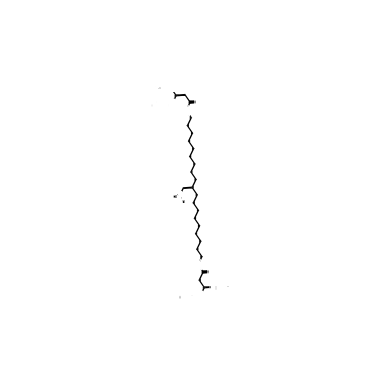 CCCCCC(CCCCC)CC(=O)OCCCCCCCCCC(CCCCCCCCCOC(=O)CC(CCCCC)CCCCC)CN(CC)CC